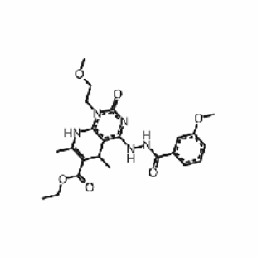 CCOC(=O)C1=C(C)Nc2c(c(NNC(=O)c3cccc(OC)c3)nc(=O)n2CCOC)C1C